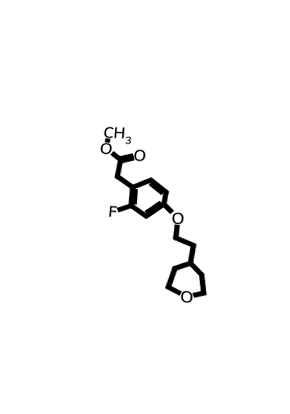 COC(=O)Cc1ccc(OCCC2CCOCC2)cc1F